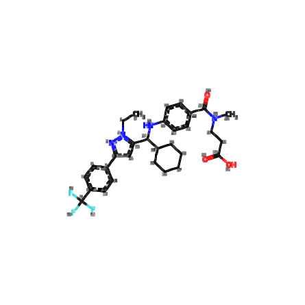 CCn1nc(-c2ccc(C(F)(F)F)cc2)cc1C(Nc1ccc(C(=O)N(C)CCC(=O)O)cc1)C1CCCCC1